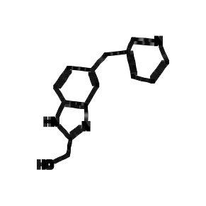 OCc1nc2cc(Cc3cccnc3)ccc2[nH]1